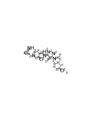 CN1CN(C)C(N(CC2CCC(C(F)(F)F)CC2)C2CC2)C(F)C1NCC1CCN(CC2OC2N)CC1C(F)(F)F